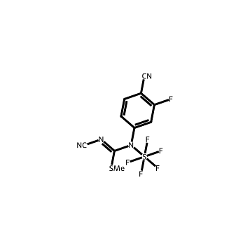 CSC(=NC#N)N(c1ccc(C#N)c(F)c1)S(F)(F)(F)(F)F